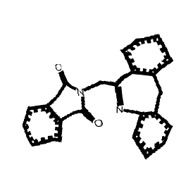 O=C1c2ccccc2C(=O)N1CC1=Nc2ccccc2Cc2ccccc21